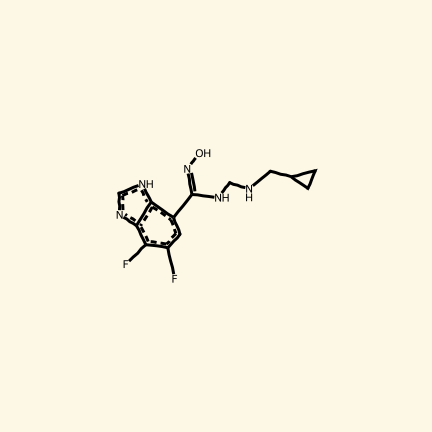 ON=C(NCNCC1CC1)c1cc(F)c(F)c2nc[nH]c12